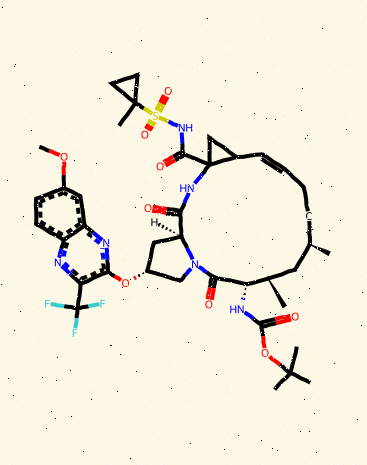 COc1ccc2nc(C(F)(F)F)c(O[C@@H]3C[C@H]4C(=O)NC5(C(=O)NS(=O)(=O)C6(C)CC6)CC5/C=C\CC[C@@H](C)C[C@@H](C)[C@H](NC(=O)OC(C)(C)C)C(=O)N4C3)nc2c1